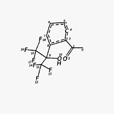 CC(=O)c1ccccc1C(O)(C(F)(F)F)C(F)(F)F